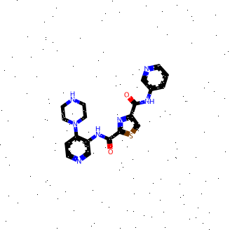 O=C(Nc1cccnc1)c1csc(C(=O)Nc2cnccc2N2CCNCC2)n1